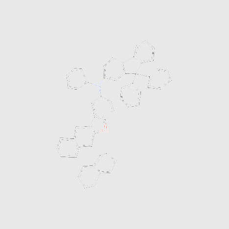 c1ccc(N(c2ccc3c(c2)C2(c4ccccc4-c4ccccc42)c2ccccc2-3)c2ccc3oc4c(-c5cccc6ccccc56)c5ccccc5cc4c3c2)cc1